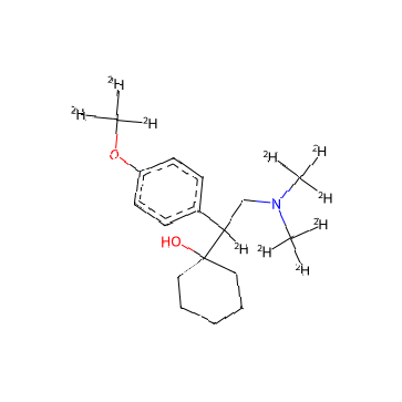 [2H]C([2H])([2H])Oc1ccc(C([2H])(CN(C([2H])([2H])[2H])C([2H])([2H])[2H])C2(O)CCCCC2)cc1